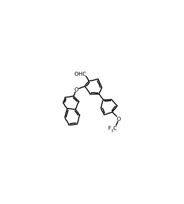 O=Cc1ccc(-c2ccc(OC(F)(F)F)cc2)cc1Oc1ccc2ccccc2c1